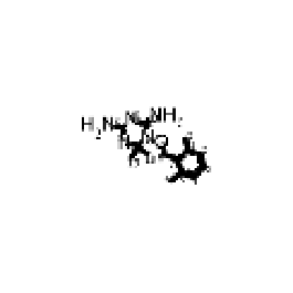 Cc1cccc(C)c1CON1C(N)=NC(N)=NC1(C)C